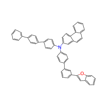 c1ccc(-c2ccc(-c3ccc(N(c4ccc(-c5cccc(-c6cc7ccccc7o6)c5)cc4)c4ccc5c(ccc6ccccc65)c4)cc3)cc2)cc1